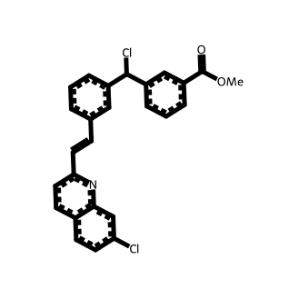 COC(=O)c1cccc(C(Cl)c2cccc(C=Cc3ccc4ccc(Cl)cc4n3)c2)c1